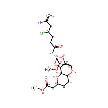 C=C(I)CC(Cl)CCC(=O)C[C@]12OC3C4OC(CC(=O)OC)CCC4OC(C3O1)C2OC